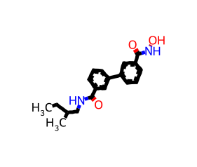 CCC(C)CNC(=O)c1cccc(-c2cccc(C(=O)NO)c2)c1